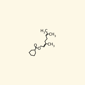 CC(C)=CCCC(C)=CCOC(=O)C1CCCCC1